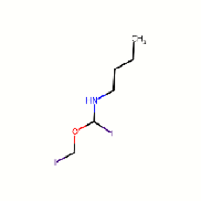 CCCCNC(I)OCI